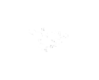 CNC(=O)c1ccc(Nc2cc(Oc3sc(C4CC4)nc3-c3ccccc3)ccn2)nc1